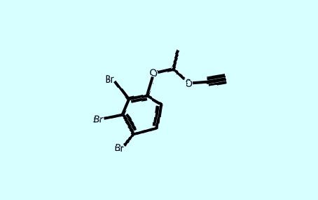 C#COC(C)Oc1ccc(Br)c(Br)c1Br